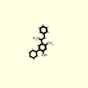 Cc1cc(O)c(C2CCCCC2)cc1C(C)Cc1ccccc1